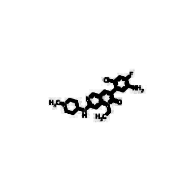 CCn1c(=O)c(-c2cc(N)c(F)cc2Cl)cc2cnc(NC3CCN(C)CC3)cc21